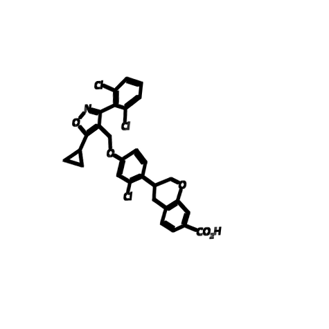 O=C(O)c1ccc2c(c1)OCC(c1ccc(OCc3c(-c4c(Cl)cccc4Cl)noc3C3CC3)cc1Cl)C2